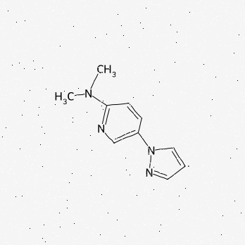 CN(C)c1ccc(-n2c[c]cn2)cn1